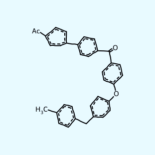 CC(=O)c1ccc(-c2ccc(C(=O)c3ccc(Oc4ccc(Cc5ccc(C)cc5)cc4)cc3)cc2)cc1